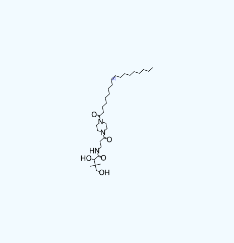 CCCCCCCC/C=C\CCCCCCCC(=O)N1CCN(C(=O)CCNC(=O)C(O)C(C)(C)CO)CC1